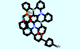 CC(C)c1ccc(-c2ccc(-c3cccc(-c4ccc(C(C)(C)C)cc4)c3N3c4ccccc4B4c5ccccc5N5c6ccccc6B6c7ccccc7Sc7c6c5c4c3c7-c3c(F)cccc3F)cc2)cc1